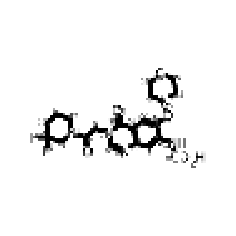 O=C(O)Nc1cc2ncn(CC(=O)N3CCCC(F)(F)C3)c(=O)c2cc1ON1CCOCC1